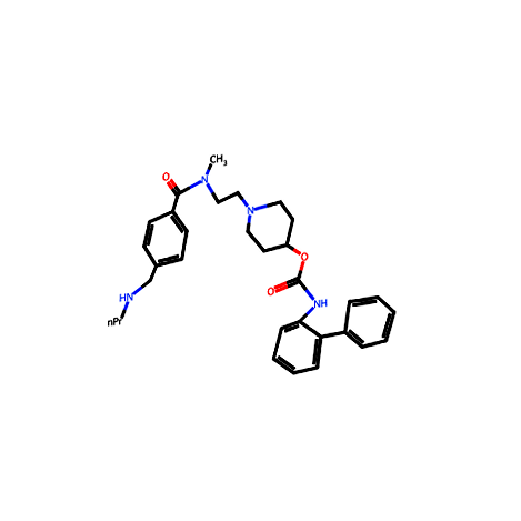 CCCNCc1ccc(C(=O)N(C)CCN2CCC(OC(=O)Nc3ccccc3-c3ccccc3)CC2)cc1